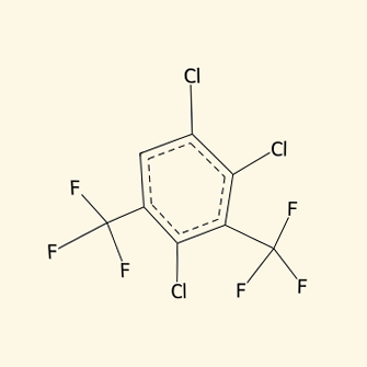 FC(F)(F)c1cc(Cl)c(Cl)c(C(F)(F)F)c1Cl